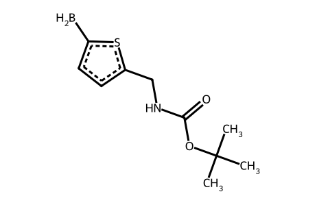 Bc1ccc(CNC(=O)OC(C)(C)C)s1